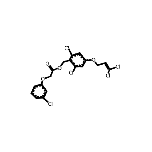 O=C(COc1cccc(Cl)c1)OCc1c(Cl)cc(OCC=C(Cl)Cl)cc1Cl